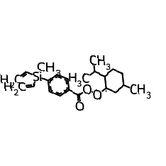 C=C[Si](C)(C=C)c1ccc(C(=O)OO[C]2CC(C)CCC2C(C)C)cc1